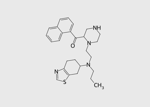 CCCN(CCN1CCNCC1C(=O)c1cccc2ccccc12)C1CCc2ncsc2C1